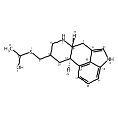 CC(O)SCC1CN[C@@H]2Cc3c[nH]c4cccc(c34)[C@H]2C1